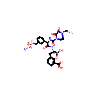 CCN1CCN(C(=O)NC(C(=O)N[C@H]2Cc3cccc(C(=O)O)c3OB2O)c2cccc(CNS(N)(=O)=O)c2)C(=O)C1=O